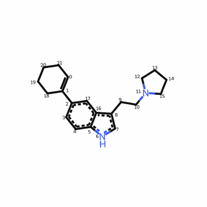 C1=C(c2ccc3[nH]cc(CCN4CCCC4)c3c2)CCCC1